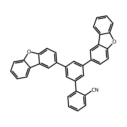 N#Cc1ccccc1-c1cc(-c2ccc3oc4ccccc4c3c2)cc(-c2ccc3oc4ccccc4c3c2)c1